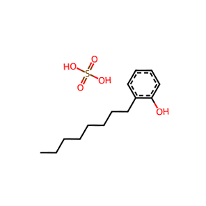 CCCCCCCCc1ccccc1O.O=S(=O)(O)O